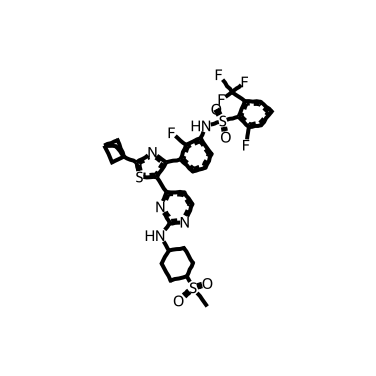 CS(=O)(=O)C1CCC(Nc2nccc(-c3sc(C45CC(C4)C5)nc3-c3cccc(NS(=O)(=O)c4c(F)cccc4C(F)(F)F)c3F)n2)CC1